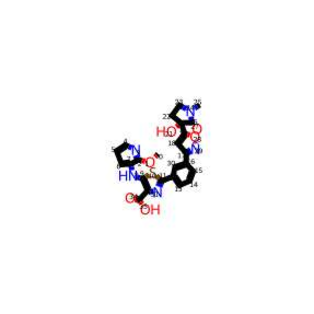 COc1ncccc1Nc1sc(-c2cccc(-c3cc(C4(O)CCN(C)C4=O)on3)c2)nc1C(=O)O